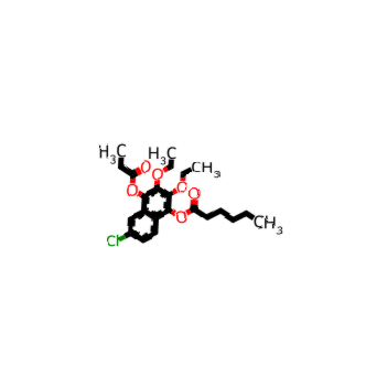 CCCCCC(=O)Oc1c(OCC)c(OCC)c(OC(=O)CC)c2cc(Cl)ccc12